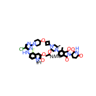 CNC(=O)COc1cc2c(F)c(Nc3nc(N4CCC(OC5CC(N6CCN(c7ccc8c(c7C)C(=O)N(C7CCC(=O)NC7=O)C8=O)[C@H](C)C6)C5)CC4)ncc3Cl)ccc2n(C(C)C)c1=O